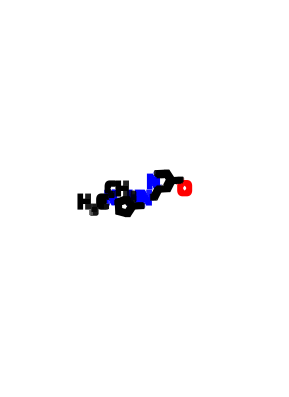 CN(C)C1CCC(CNCc2cc(C=O)ccn2)C1